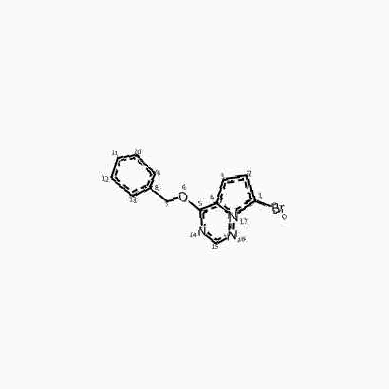 Brc1ccc2c(OCc3ccccc3)ncnn12